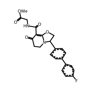 COC(=O)CNC(=O)C1=C2OCC(c3ccc(-c4ccc(F)cc4)cc3)N2CCC1=O